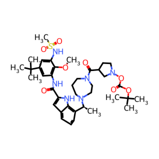 COc1c(NC(=O)c2cc3cccc([C@H](C)N4CCCN(C(=O)C5CCN(OC(=O)OC(C)(C)C)C5)CC4)c3[nH]2)cc(C(C)(C)C)cc1NS(C)(=O)=O